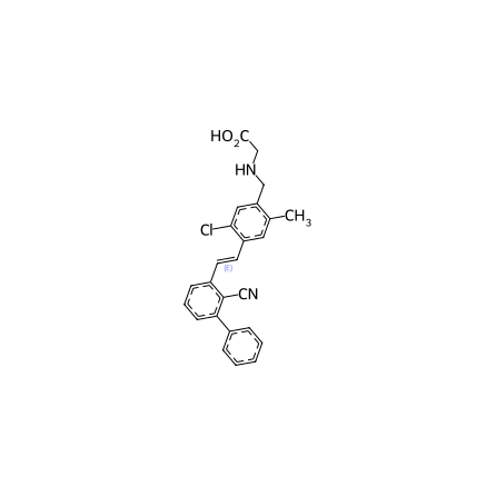 Cc1cc(/C=C/c2cccc(-c3ccccc3)c2C#N)c(Cl)cc1CNCC(=O)O